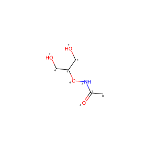 CC(=O)NOC(CO)CO